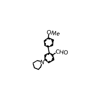 COc1ccc(-c2cc(N3CCCCC3)ccc2C=O)cc1